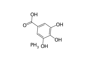 O=C(O)c1cc(O)c(O)c(O)c1.P